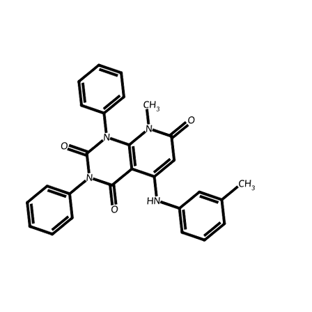 Cc1cccc(Nc2cc(=O)n(C)c3c2c(=O)n(-c2ccccc2)c(=O)n3-c2ccccc2)c1